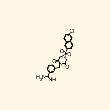 N=C(N)c1cccc(CN2C(=O)CN(S(=O)(=O)c3ccc4cc(Cl)ccc4c3)CC2=O)c1